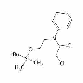 CC(C)(C)[Si](C)(C)OCCN(C(=O)CCl)c1ccccc1